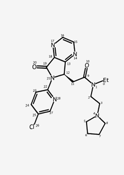 CCN(CCN1CCCC1)C(=O)C[C@@H]1c2nccnc2C(=O)N1c1ccc(Cl)cn1